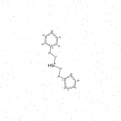 c1ccc(CC[SiH]CCc2ccccc2)cc1